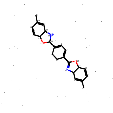 CC1=CC2N=C(C3=CC=C(C4NC5C=C(C)C=CC5O4)CC3)OC2C=C1